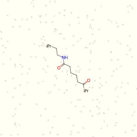 CC(C)CCNC(=O)CCCCC(=O)C(C)C